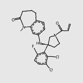 C=CC(=O)N1CC[C@](Nc2ccc3c(c2)N(C)C(=O)CCC3)(c2c(F)ccc(Cl)c2Cl)C1